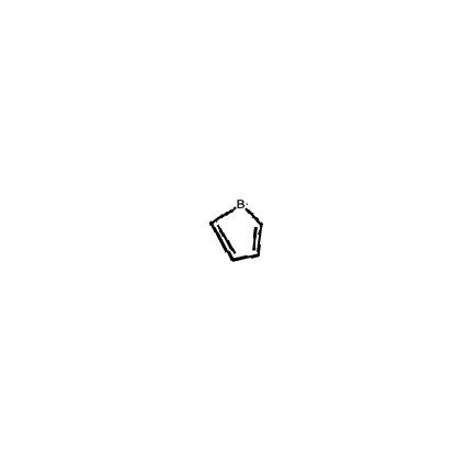 [B]1C=CC=C1